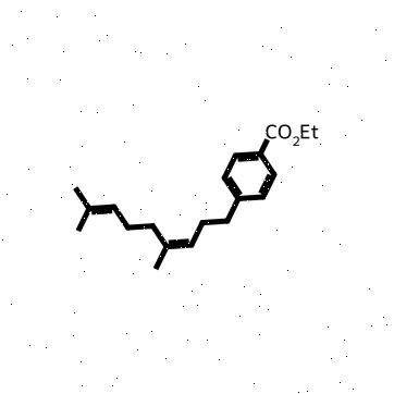 CCOC(=O)c1ccc(CCC=C(C)CCC=C(C)C)cc1